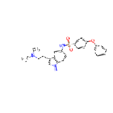 CN(C)CCc1c[nH]c2ccc(NS(=O)(=O)c3ccc(Oc4ccccc4)cc3)cc12